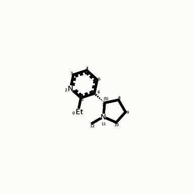 CCc1ncccc1[C@@H]1CCCN1C